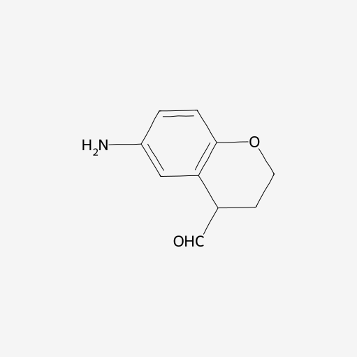 Nc1ccc2c(c1)C(C=O)CCO2